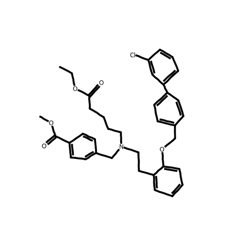 CCOC(=O)CCCCN(CCc1ccccc1OCc1ccc(-c2cccc(Cl)c2)cc1)Cc1ccc(C(=O)OC)cc1